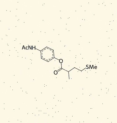 CSCCC(C)C(=O)Oc1ccc(NC(C)=O)cc1